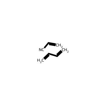 C=CC#N.C=CC=C